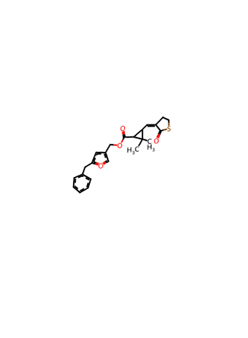 CC1(C)C(/C=C2/CCSC2=O)C1C(=O)OCc1coc(Cc2ccccc2)c1